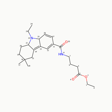 CCOC(=O)CCCNC(=O)C1=CC2=C3CC(C)(C)CCC3N(CC)C2C=C1